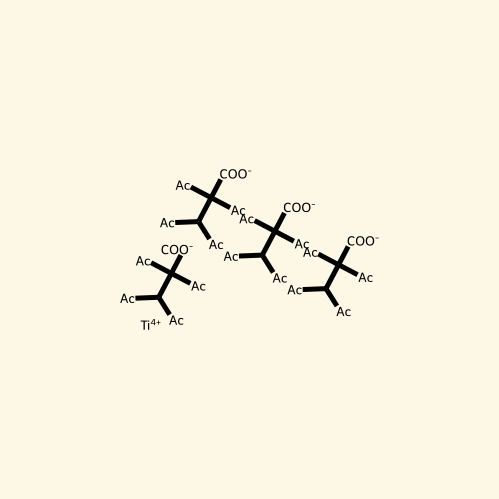 CC(=O)C(C(C)=O)C(C(C)=O)(C(C)=O)C(=O)[O-].CC(=O)C(C(C)=O)C(C(C)=O)(C(C)=O)C(=O)[O-].CC(=O)C(C(C)=O)C(C(C)=O)(C(C)=O)C(=O)[O-].CC(=O)C(C(C)=O)C(C(C)=O)(C(C)=O)C(=O)[O-].[Ti+4]